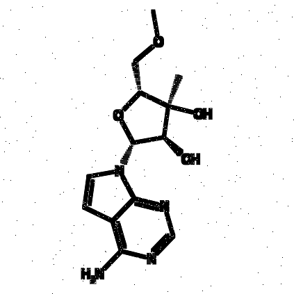 COC[C@H]1O[C@@H](n2ccc3c(N)ncnc32)[C@H](O)[C@]1(C)O